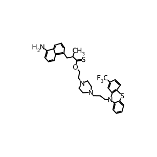 CC(Cc1cccc2c(N)cccc12)C(=S)OCCN1CCN(CCCN2c3ccccc3Sc3ccc(C(F)(F)F)cc32)CC1